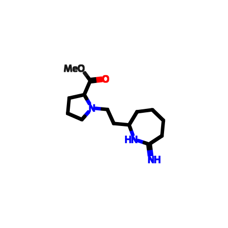 COC(=O)C1CCCN1CCC1CCCCC(=N)N1